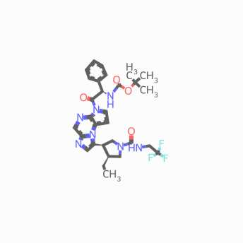 CC[C@@H]1CN(C(=O)NCC(F)(F)F)C[C@@H]1c1cnc2cnc3c(ccn3C(=O)[C@@H](NC(=O)OC(C)(C)C)c3ccccc3)n12